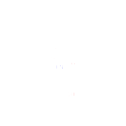 O=C(Nc1ccc(O)cc1)c1cc2ccccc2oc1=O